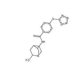 CC1CC2CCN1CC2NC(=O)c1ccc(Sc2nnco2)cc1